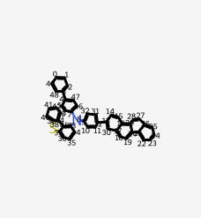 c1ccc(-c2ccc(N(c3ccc(-c4ccc5c(ccc6c7ccccc7ccc56)c4)cc3)c3cccc4sc5ccccc5c34)cc2)cc1